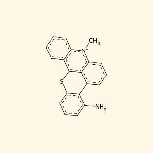 C[n+]1c2ccccc2c2c3c(cccc31)-c1c(N)cccc1S2